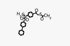 CC(=O)SCC(=O)c1ccc(N(C)S(=O)(=O)c2ccc(-c3ccccc3)cc2)cc1